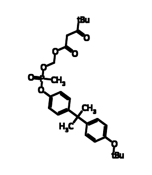 CC(C)(C)Oc1ccc(C(C)(C)c2ccc(OP(C)(=O)OCOC(=O)CC(=O)C(C)(C)C)cc2)cc1